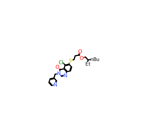 CCCCC(CC)COC(=O)CCSc1ccc2ncn(Cc3cccnc3)c(=O)c2c1Cl